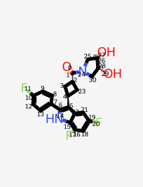 O=C([C@H]1C[C@H](c2c(-c3ccc(F)cc3)[nH]c3c(F)cc(F)cc32)C1)N1C[C@@H](O)[C@H](O)C1